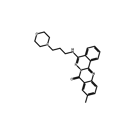 Cc1ccc2nc3c4ccccc4c(NCCCN4CCOCC4)nn3c(=O)c2c1